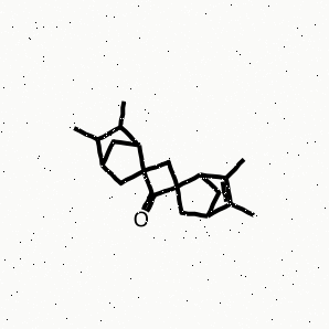 CC1=C(C)C2CC1CC21CC2(CC3CC2C(C)C3C)C1=O